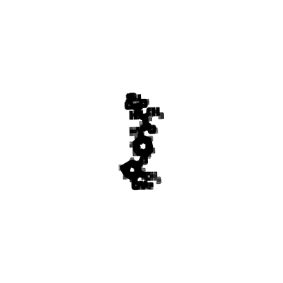 COc1cccc(Oc2ccc(NC(=O)[C@@H](C)NC(=O)OC(C)(C)C)cn2)c1C